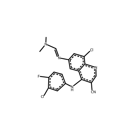 CN(C)C=Nc1cc(Cl)c2ncc(C#N)c(Nc3ccc(F)c(Cl)c3)c2c1